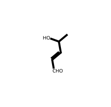 CC(O)/C=C/C=O